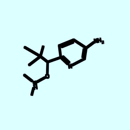 C[SiH](C)OC(c1ccc(N)cn1)C(C)(C)C